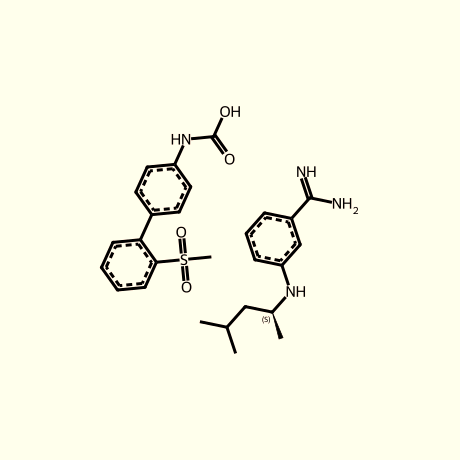 CC(C)C[C@H](C)Nc1cccc(C(=N)N)c1.CS(=O)(=O)c1ccccc1-c1ccc(NC(=O)O)cc1